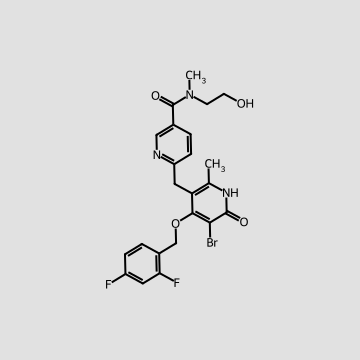 Cc1[nH]c(=O)c(Br)c(OCc2ccc(F)cc2F)c1Cc1ccc(C(=O)N(C)CCO)cn1